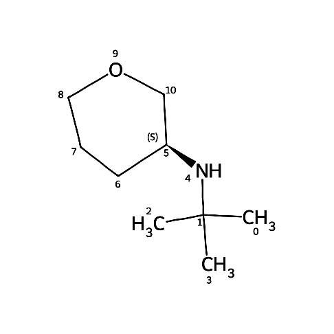 CC(C)(C)N[C@H]1CCCOC1